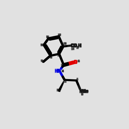 CSC[C@H](C)NC(=O)c1c(C)cccc1C(=O)O